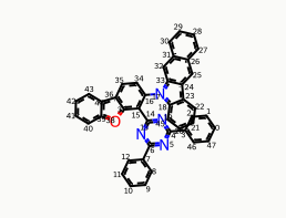 c1ccc(-c2nc(-c3ccccc3)nc(-c3c(-n4c5ccccc5c5cc6ccccc6cc54)ccc4c3oc3ccccc34)n2)cc1